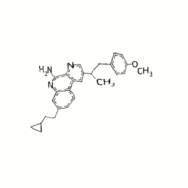 COc1ccc(CC(C)c2cnc3c(N)nc4cc(CCC5CC5)ccc4c3c2)cc1